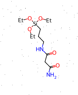 CCO[Si](CCCNC(=O)CC(N)=O)(OCC)OCC